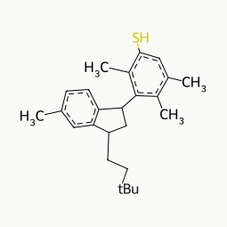 Cc1ccc2c(c1)C(CCC(C)(C)C)CC2c1c(C)c(C)cc(S)c1C